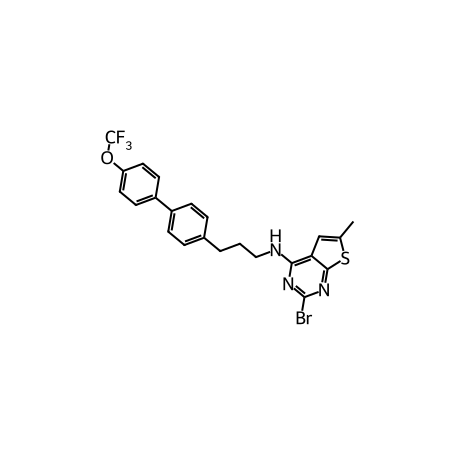 Cc1cc2c(NCCCc3ccc(-c4ccc(OC(F)(F)F)cc4)cc3)nc(Br)nc2s1